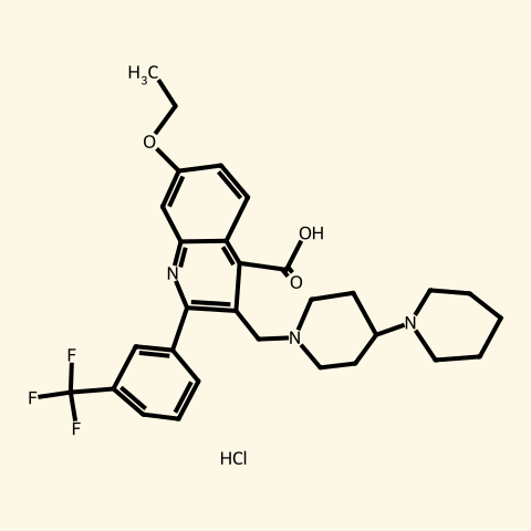 CCOc1ccc2c(C(=O)O)c(CN3CCC(N4CCCCC4)CC3)c(-c3cccc(C(F)(F)F)c3)nc2c1.Cl